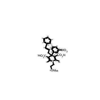 COCCN1C(C)=C(C(=O)O)C(CC=Cc2ccccc2)(c2cccc([N+](=O)[O-])c2)C(C(=O)O)=C1C